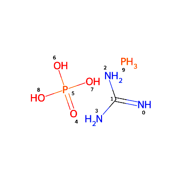 N=C(N)N.O=P(O)(O)O.P